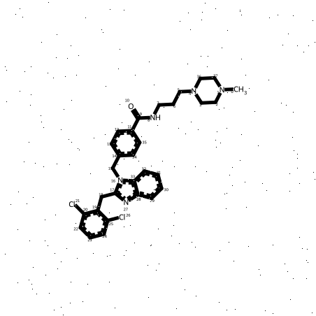 CN1CCN(CCCNC(=O)c2ccc(Cn3c(Cc4c(Cl)cccc4Cl)nc4ccccc43)cc2)CC1